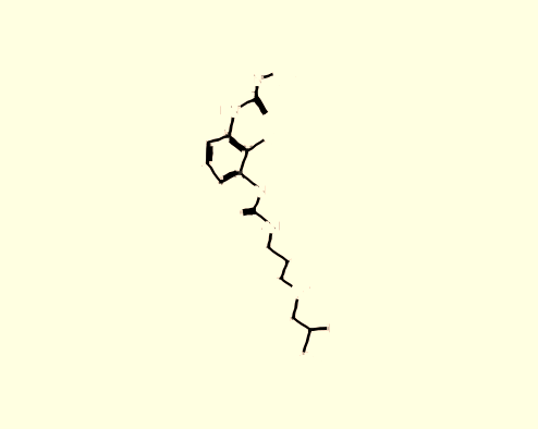 CCCCC(CC)COCCCNC(=O)Nc1cccc(NC(=O)NC(C)(C)C)c1C